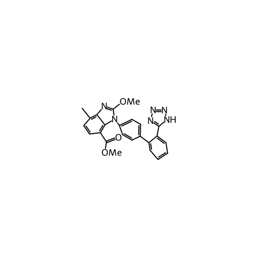 COC(=O)c1ccc(C)c2nc(OC)n(-c3ccc(-c4ccccc4-c4nnn[nH]4)cc3)c12